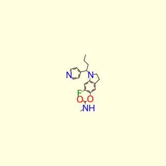 CCCC(c1ccncc1)N1CCc2cc(OC(=O)NC)c(F)cc21